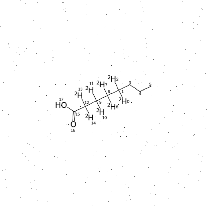 [2H]C([2H])(CCC)C([2H])([2H])C([2H])([2H])C([2H])([2H])C(=O)O